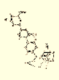 COc1cc(-c2ccc(-c3cnc(N(C4CC4)[C@@H]4C[C@H]5CC[C@H](N5)[C@@H]4F)cn3)c(O)c2)cc(F)n1